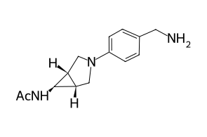 CC(=O)N[C@H]1[C@@H]2CN(c3ccc(CN)cc3)C[C@@H]21